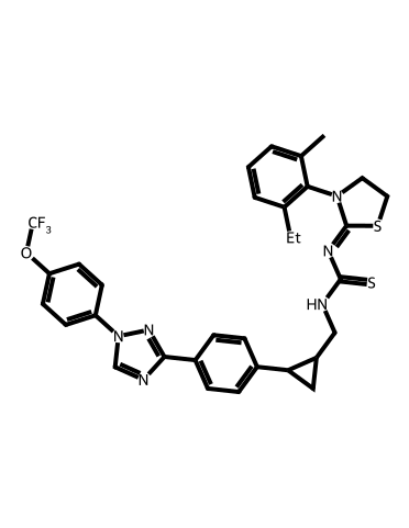 CCc1cccc(C)c1N1CCS/C1=N\C(=S)NCC1CC1c1ccc(-c2ncn(-c3ccc(OC(F)(F)F)cc3)n2)cc1